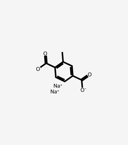 Cc1cc(C(=O)[O-])ccc1C(=O)[O-].[Na+].[Na+]